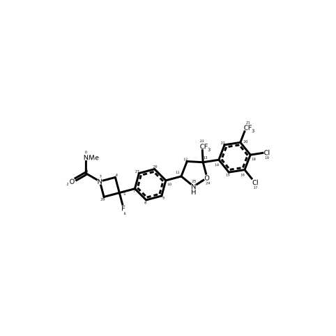 CNC(=O)N1CC(F)(c2ccc(C3CC(c4cc(Cl)c(Cl)c(C(F)(F)F)c4)(C(F)(F)F)ON3)cc2)C1